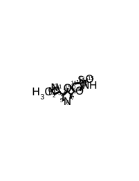 Cn1cc(-c2cncc3cc(/C=C4/SC(=O)NC4=O)oc23)cn1